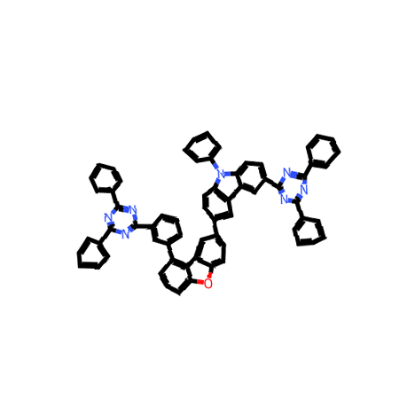 c1ccc(-c2nc(-c3ccccc3)nc(-c3cccc(-c4cccc5oc6ccc(-c7ccc8c(c7)c7cc(-c9nc(-c%10ccccc%10)nc(-c%10ccccc%10)n9)ccc7n8-c7ccccc7)cc6c45)c3)n2)cc1